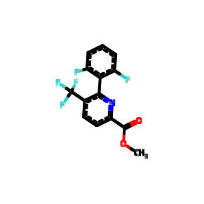 COC(=O)c1ccc(C(F)(F)F)c(-c2c(F)cccc2F)n1